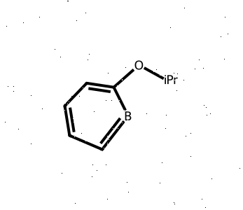 CC(C)Oc1bcccc1